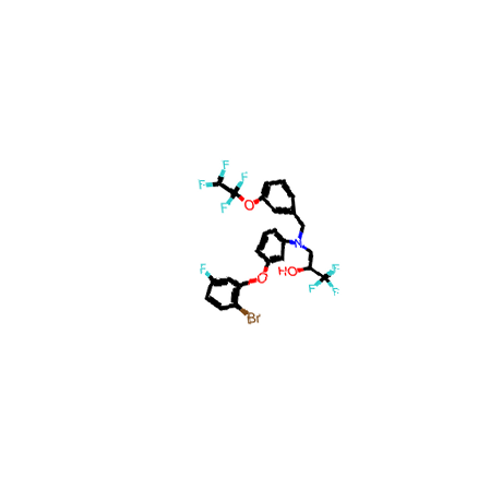 OC(CN(Cc1cccc(OC(F)(F)C(F)F)c1)c1cccc(Oc2cc(F)ccc2Br)c1)C(F)(F)F